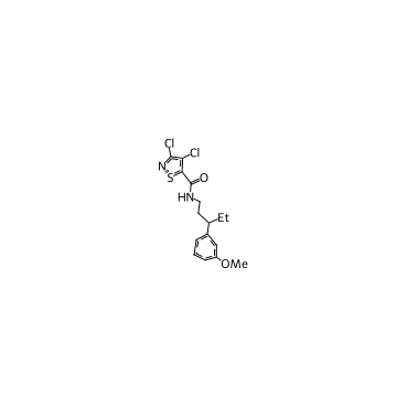 CCC(CCNC(=O)c1snc(Cl)c1Cl)c1cccc(OC)c1